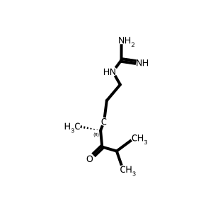 CC(C)C(=O)[C@H](C)CCCNC(=N)N